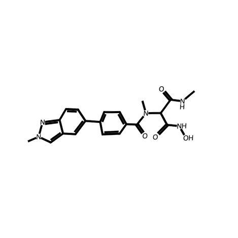 CNC(=O)C(C(=O)NO)N(C)C(=O)c1ccc(-c2ccc3nn(C)cc3c2)cc1